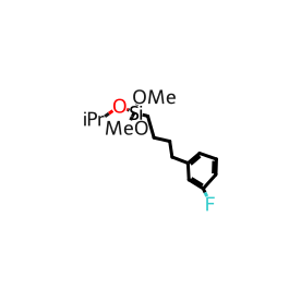 CO[Si](CCCCc1cccc(F)c1)(OC)OC(C)C